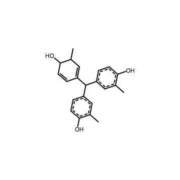 Cc1cc(C(C2=CC(C)C(O)C=C2)c2ccc(O)c(C)c2)ccc1O